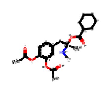 COC(=O)Oc1ccc(C[C@](NC(C)C)(OC(=O)C2CCCCC2)C(=O)O)cc1OC(=O)OC